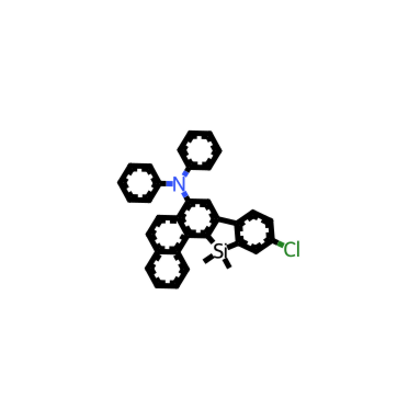 C[Si]1(C)c2cc(Cl)ccc2-c2cc(N(c3ccccc3)c3ccccc3)c3ccc4ccccc4c3c21